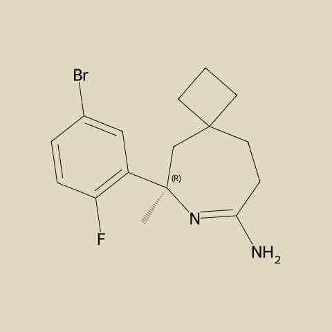 C[C@]1(c2cc(Br)ccc2F)CC2(CCC2)CCC(N)=N1